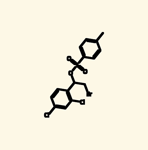 Cc1ccc(S(=O)(=O)OC(CBr)c2ccc(Cl)cc2Cl)cc1